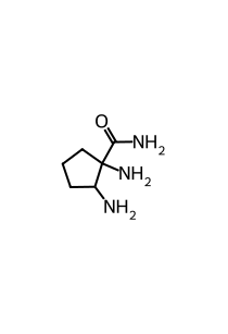 NC(=O)C1(N)CCCC1N